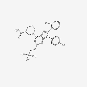 CC(C)(O)COc1cc(N2CCCC(C(N)=O)C2)n2nc(-c3ccccc3Cl)c(-c3ccc(Cl)cc3)c2n1